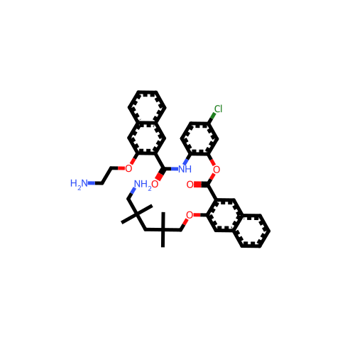 CC(C)(CN)CC(C)(C)COc1cc2ccccc2cc1C(=O)Oc1cc(Cl)ccc1NC(=O)c1cc2ccccc2cc1OCCN